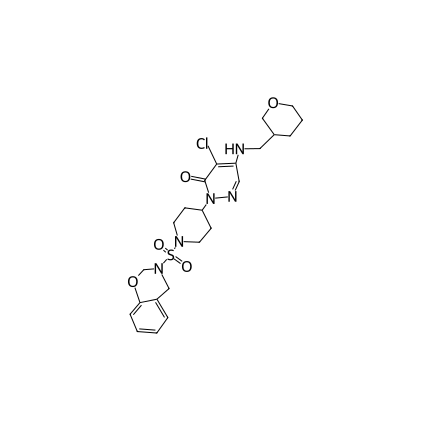 O=c1c(Cl)c(NCC2CCCOC2)cnn1C1CCN(S(=O)(=O)N2COc3ccccc3C2)CC1